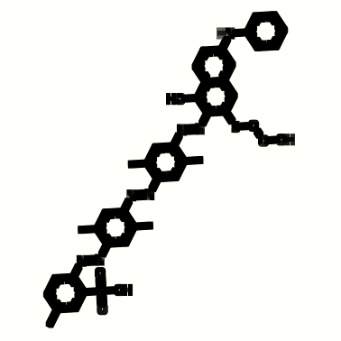 Cc1ccc(N=Nc2cc(C)c(N=Nc3cc(C)c(N=Nc4c(SOOO)cc5cc(Nc6ccccc6)ccc5c4O)cc3C)cc2C)c(S(=O)(=O)O)c1